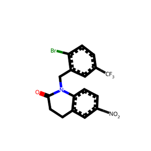 O=C1CCc2cc([N+](=O)[O-])ccc2N1Cc1cc(C(F)(F)F)ccc1Br